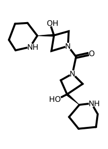 O=C(N1CC(O)([C@@H]2CCCCN2)C1)N1CC(O)([C@@H]2CCCCN2)C1